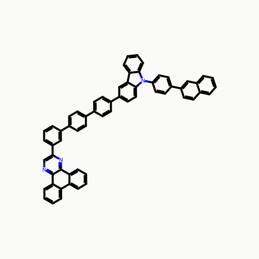 c1cc(-c2ccc(-c3ccc(-c4ccc5c(c4)c4ccccc4n5-c4ccc(-c5ccc6ccccc6c5)cc4)cc3)cc2)cc(-c2cnc3c4ccccc4c4ccccc4c3n2)c1